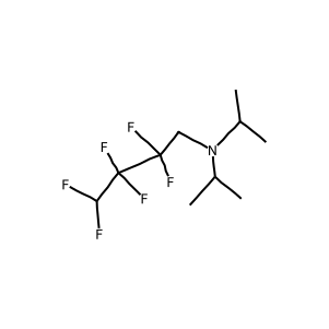 CC(C)N(CC(F)(F)C(F)(F)C(F)F)C(C)C